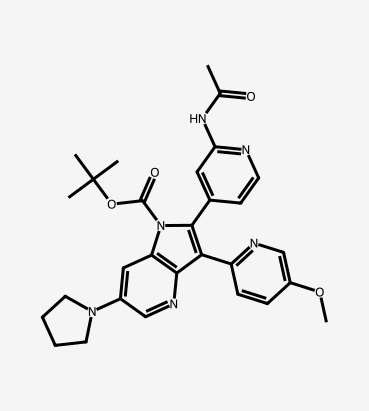 COc1ccc(-c2c(-c3ccnc(NC(C)=O)c3)n(C(=O)OC(C)(C)C)c3cc(N4CCCC4)cnc23)nc1